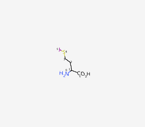 NC(CCSI)C(=O)O